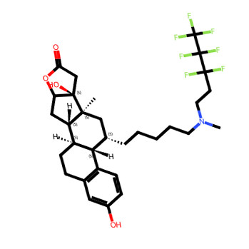 CN(CCCCC[C@H]1C[C@@]2(C)[C@@H](CC3OC(=O)C[C@@]32O)[C@@H]2CCc3cc(O)ccc3[C@@H]12)CCC(F)(F)C(F)(F)C(F)(F)F